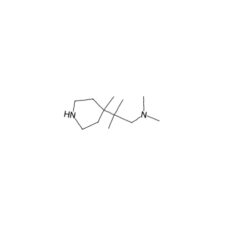 CN(C)CC(C)(C)C1(C)CCNCC1